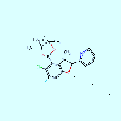 C[C@H]1c2c(cc(F)c(Cl)c2B2OC(C)(C)C(C)(C)O2)OC1c1ccccn1